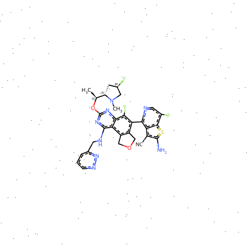 C[C@H](Oc1nc(NCc2cccnn2)c2c3c(c(-c4ncc(F)c5sc(N)c(C#N)c45)c(F)c2n1)COC3)[C@@H]1C[C@@H](F)CN1C